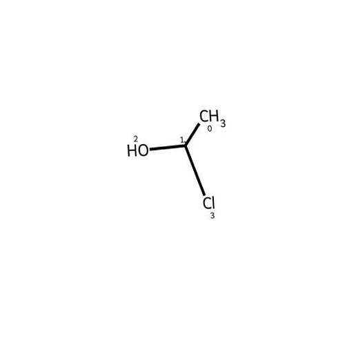 C[C](O)Cl